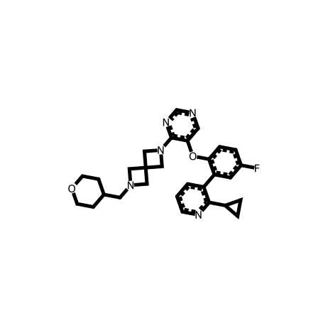 Fc1ccc(Oc2cncnc2N2CC3(CN(CC4CCOCC4)C3)C2)c(-c2cccnc2C2CC2)c1